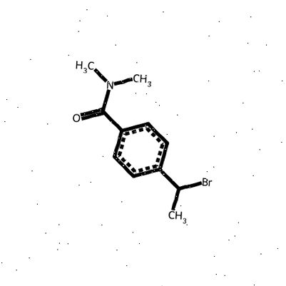 CC(Br)c1ccc(C(=O)N(C)C)cc1